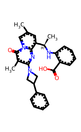 Cc1cc([C@@H](C)Nc2ccccc2C(=O)O)c2nc(N3CC(c4ccccc4)C3)c(C)c(=O)n2c1